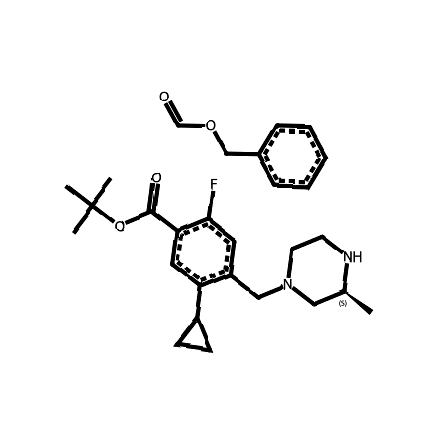 C[C@H]1CN(Cc2cc(F)c(C(=O)OC(C)(C)C)cc2C2CC2)CCN1.O=COCc1ccccc1